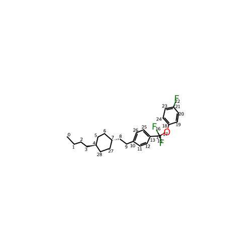 CCCC[C@H]1CC[C@H](CCc2ccc(C(F)(F)Oc3ccc(F)cc3)cc2)CC1